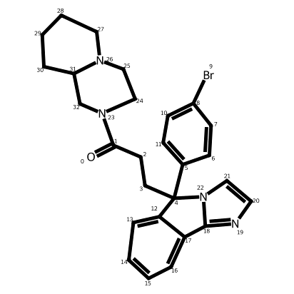 O=C(CCC1(c2ccc(Br)cc2)c2ccccc2-c2nccn21)N1CCN2CCCCC2C1